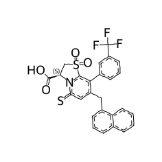 O=C(O)[C@H]1CS(=O)(=O)c2c(-c3cccc(C(F)(F)F)c3)c(Cc3cccc4ccccc34)cc(=S)n21